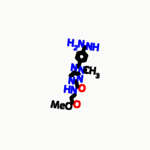 COC(=O)CCNC(=O)c1ncc2nc(-c3ccc(C(=N)N)cc3)n(C)c2n1